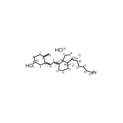 C=C1CC[C@H](O)C/C1=C/C=C1\CCC[C@@]2(C)C1CC[C@@H]2[C@H](C)CCCC(C)C.Cl